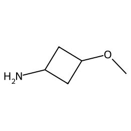 COC1CC(N)C1